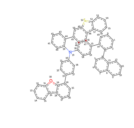 c1ccc(-c2cccc3ccccc23)c(-c2ccc(N(c3ccc(-c4cccc5c4oc4ccccc45)cc3)c3ccccc3-c3ccc4c(c3)sc3ccccc34)cc2)c1